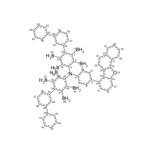 Bc1c(B)c(N(c2ccc(-c3cccc4oc5c6ccccc6ccc5c34)cc2)c2c(B)c(B)c(-c3cccc(-c4ccccc4)c3)c(B)c2B)c(B)c(B)c1-c1cccc(-c2ccccc2)c1